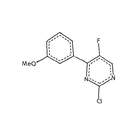 COc1cccc(-c2nc(Cl)ncc2F)c1